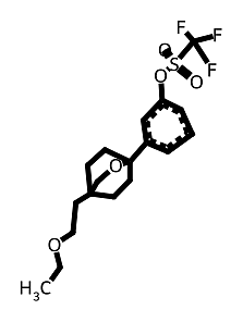 CCOCCC12CCC(c3cccc(OS(=O)(=O)C(F)(F)F)c3)(CC1)OC2